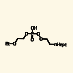 CCCCCCCCCOOP(=O)(O)OCCOCC